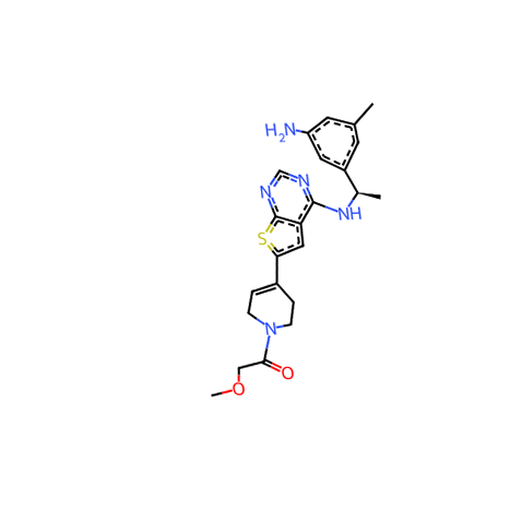 COCC(=O)N1CC=C(c2cc3c(N[C@H](C)c4cc(C)cc(N)c4)ncnc3s2)CC1